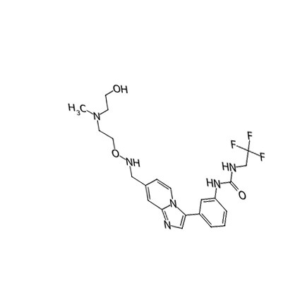 CN(CCO)CCONCc1ccn2c(-c3cccc(NC(=O)NCC(F)(F)F)c3)cnc2c1